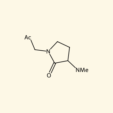 CNC1CCN(CC(C)=O)C1=O